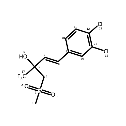 CS(=O)(=O)CC(O)(/C=C/c1ccc(Cl)c(Cl)c1)C(F)(F)F